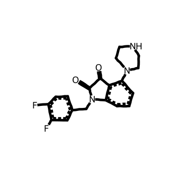 O=C1C(=O)N(Cc2ccc(F)c(F)c2)c2cccc(N3CCNCC3)c21